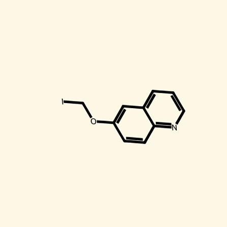 ICOc1ccc2ncccc2c1